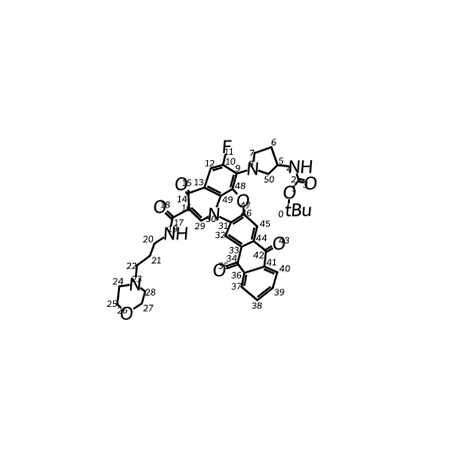 CC(C)(C)OC(=O)NC1CCN(c2c(F)cc3c(=O)c(C(=O)NCCCN4CCOCC4)cn4c5cc6c(=O)c7ccccc7c(=O)c6cc5oc2c34)C1